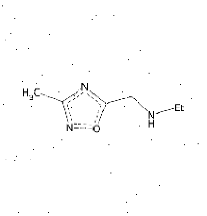 CCNCc1nc(C)no1